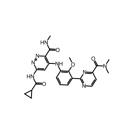 CNC(=O)c1nnc(NC(=O)C2CC2)cc1Nc1cccc(-c2nccc(C(=O)N(C)C)n2)c1OC